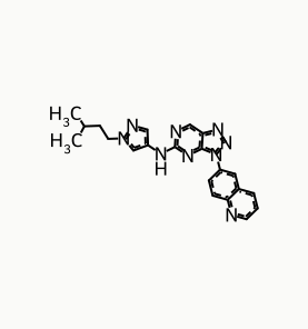 CC(C)CCn1cc(Nc2ncc3nnn(-c4ccc5ncccc5c4)c3n2)cn1